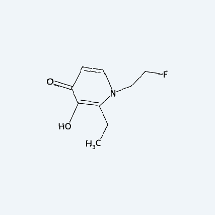 CCc1c(O)c(=O)ccn1CCF